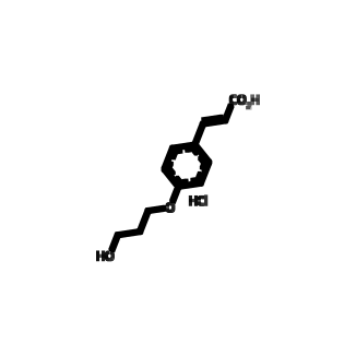 Cl.O=C(O)C=Cc1ccc(OCCCO)cc1